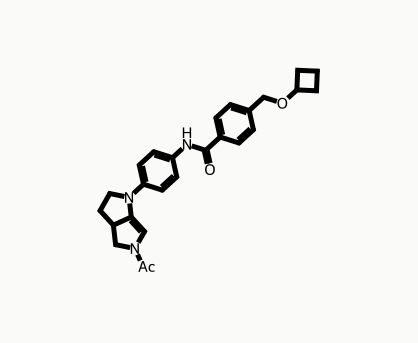 CC(=O)N1C=C2C(CCN2c2ccc(NC(=O)c3ccc(COC4CCC4)cc3)cc2)C1